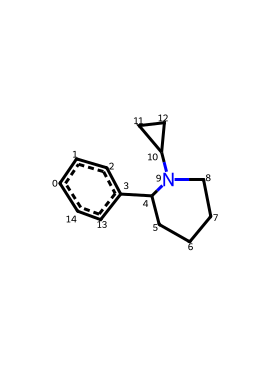 c1ccc(C2CCCCN2C2CC2)cc1